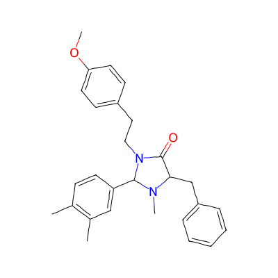 COc1ccc(CCN2C(=O)C(Cc3ccccc3)N(C)C2c2ccc(C)c(C)c2)cc1